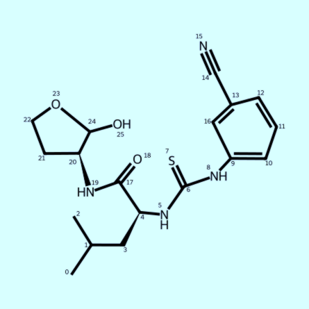 CC(C)C[C@H](NC(=S)Nc1cccc(C#N)c1)C(=O)N[C@H]1CCOC1O